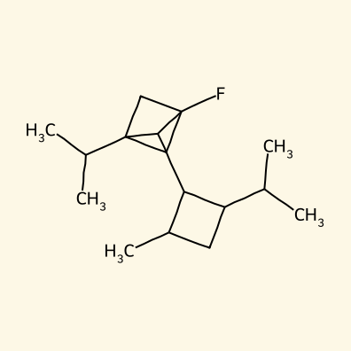 CC(C)C1CC(C)C1C1C2(F)CC1(C(C)C)C2